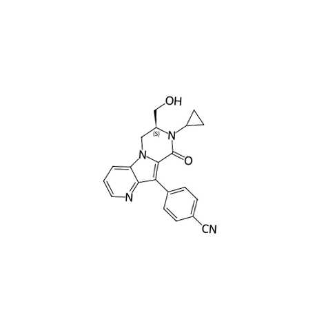 N#Cc1ccc(-c2c3n(c4cccnc24)C[C@@H](CO)N(C2CC2)C3=O)cc1